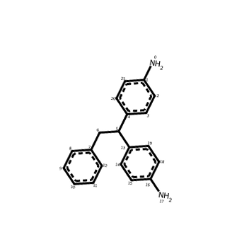 Nc1ccc(C(Cc2ccccc2)c2ccc(N)cc2)cc1